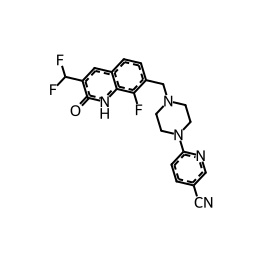 N#Cc1ccc(N2CCN(Cc3ccc4cc(C(F)F)c(=O)[nH]c4c3F)CC2)nc1